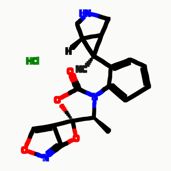 C[C@@H]1N(c2ccccc2[C@]2(C#N)C3CNC[C@H]32)C(=O)O[C@@]12Oc1nocc12.Cl